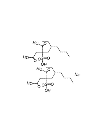 CCCCC(CC)CC(CC(=O)O)(C(=O)O)S(=O)(=O)O.CCCCC(CC)CC(CC(=O)O)(C(=O)O)S(=O)(=O)O.[Na]